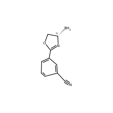 B[C@H]1COC(c2cccc(C#N)c2)=N1